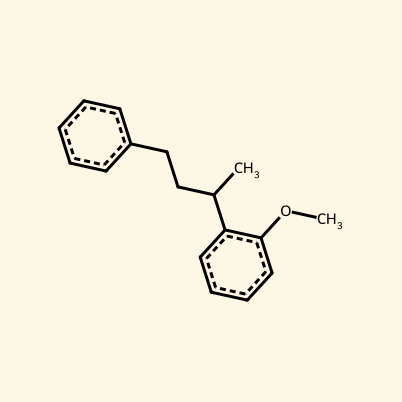 COc1ccccc1C(C)CCc1ccccc1